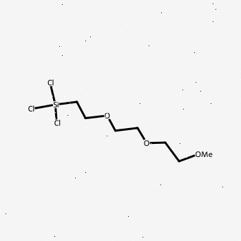 COCCOCCOCC[Si](Cl)(Cl)Cl